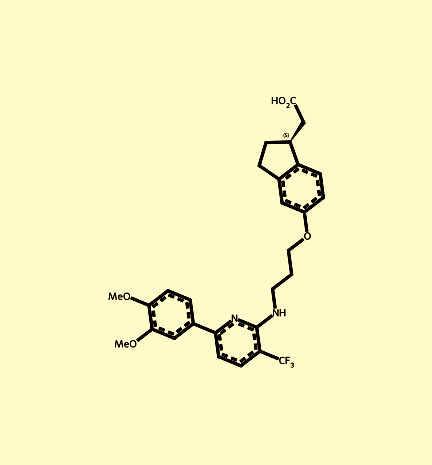 COc1ccc(-c2ccc(C(F)(F)F)c(NCCCOc3ccc4c(c3)CC[C@H]4CC(=O)O)n2)cc1OC